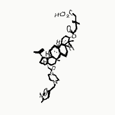 C=C(C)[C@@H]1CC[C@]2(CC(=O)N3CCN(Cc4cc(C)no4)CC3)CC[C@]3(C)[C@H](CC[C@@H]4[C@@]5(C)CC[C@H](OC(=O)CC(C)(C)CC(=O)O)C(C)(C)[C@@H]5CC[C@]43C)[C@@H]12